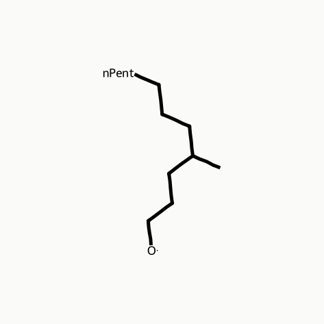 CCCCCCCCC(C)CCC[O]